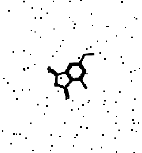 CCc1cc(C)c2c(c1)C(=O)OC2=O